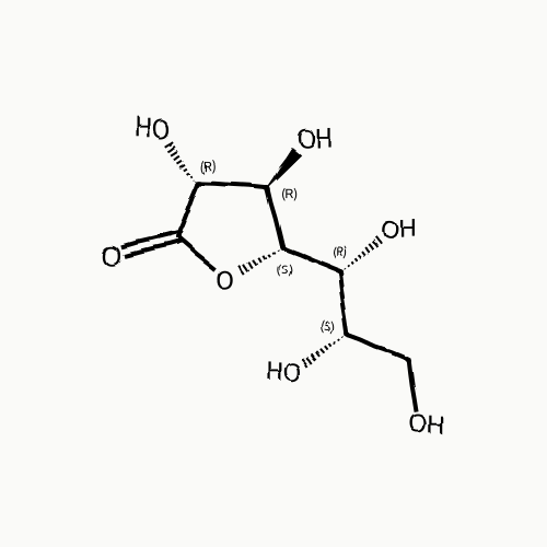 O=C1O[C@@H]([C@H](O)[C@@H](O)CO)[C@H](O)[C@H]1O